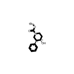 CC(C)(C)OC(=O)N1CC[C@H](O)[C@@H](c2ccccc2)C1